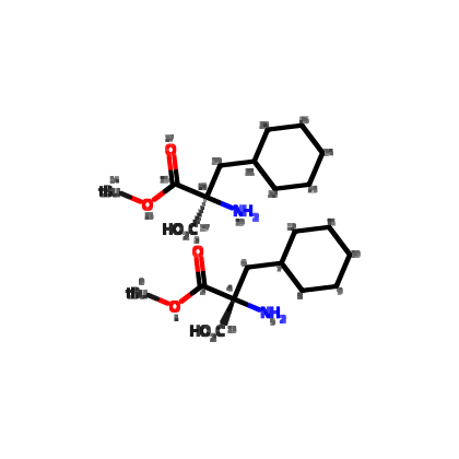 CC(C)(C)OC(=O)[C@@](N)(CC1CCCCC1)C(=O)O.CC(C)(C)OC(=O)[C@](N)(CC1CCCCC1)C(=O)O